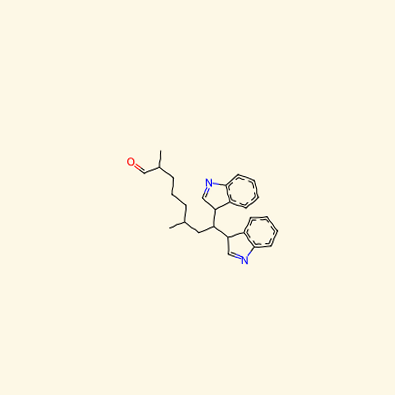 CC(C=O)CCCC(C)CC(C1C=Nc2ccccc21)C1C=Nc2ccccc21